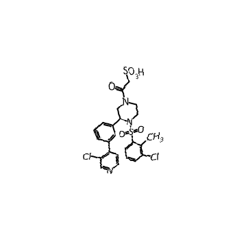 Cc1c(Cl)cccc1S(=O)(=O)N1CCN(C(=O)CS(=O)(=O)O)CC1c1cccc(-c2ccncc2Cl)c1